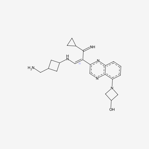 N=C(/C(=C\NC1CC(CN)C1)c1cnc2c(N3CC(O)C3)cccc2n1)C1CC1